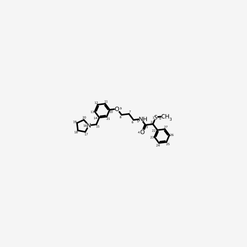 CSC(C(=O)NCCCOc1cccc(CN2CCCC2)c1)c1ccccc1